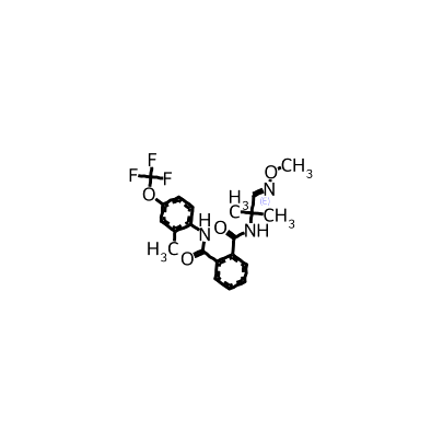 CO/N=C/C(C)(C)NC(=O)c1ccccc1C(=O)Nc1ccc(OC(F)(F)F)cc1C